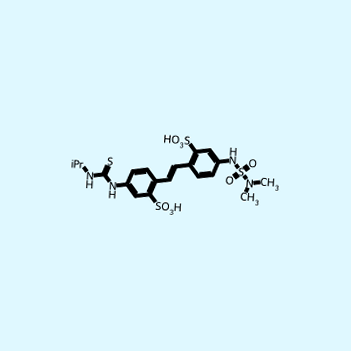 CC(C)NC(=S)Nc1ccc(/C=C/c2ccc(NS(=O)(=O)N(C)C)cc2S(=O)(=O)O)c(S(=O)(=O)O)c1